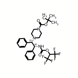 CC(C)(C)OC(=O)N1CCN([C@@H](c2ccccc2)[C@H](NC(=O)OC(C(F)(F)F)C(F)(F)F)c2ccccc2)CC1